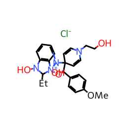 CCC1N(O)c2ccc3cc2[N+]1(O)N3C1(C(=O)c2ccc(OC)cc2)C=CN(CCO)C=C1.[Cl-]